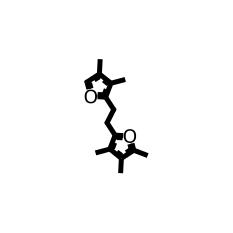 Cc1coc(CCc2oc(C)c(C)c2C)c1C